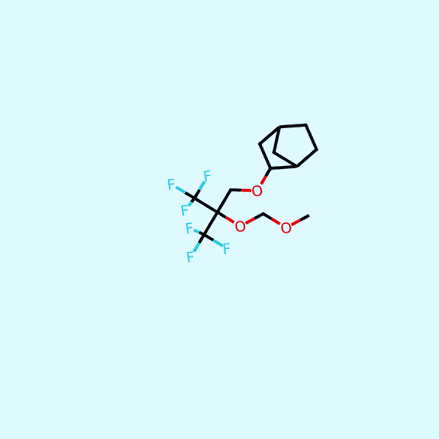 COCOC(COC1CC2CCC1C2)(C(F)(F)F)C(F)(F)F